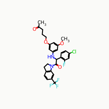 COc1cc(NC(C(=O)N2CCc3ccc(C(F)(F)F)cc32)c2ccc(Cl)cc2F)cc(OCCCC(C)=O)c1